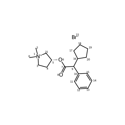 C[N+]1(C)CC[C@@H](OC(=O)C(c2ccccc2)C2CCCC2)C1.[Br-]